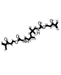 C=C(C)C(=O)CCOC(=O)NCCC(C)CC(C)(C)CNC(=O)OCCC(=O)C(=C)C